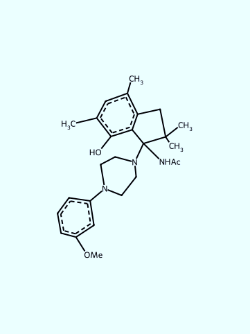 COc1cccc(N2CCN(C3(NC(C)=O)c4c(O)c(C)cc(C)c4CC3(C)C)CC2)c1